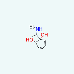 CCNC(C)C1(O)C=CC=CC1O